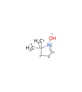 CC1(C)CCC=[N+]1O